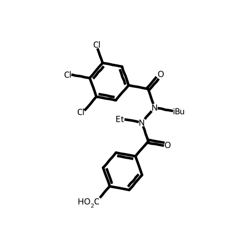 CCC(C)N(C(=O)c1cc(Cl)c(Cl)c(Cl)c1)N(CC)C(=O)c1ccc(C(=O)O)cc1